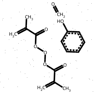 C=C(C)C(=O)OOOC(=O)C(=C)C.C=O.Oc1ccccc1